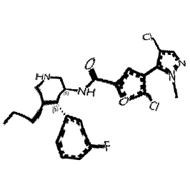 CCCC1CNC[C@@H](NC(=O)c2cc(-c3c(Cl)cnn3C)c(Cl)o2)[C@@H]1c1cccc(F)c1